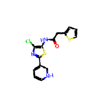 O=C(Cc1cccs1)Nc1sc(C2=CC=CNC2)nc1Cl